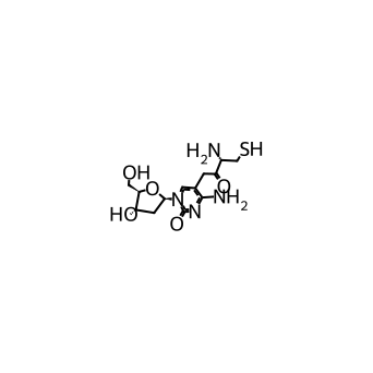 Nc1nc(=O)n([C@H]2C[C@H](O)[C@@H](CO)O2)cc1CC(=O)[C@H](N)CS